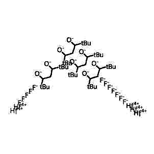 CC(C)(C)C([O-])CC([O-])C(C)(C)C.CC(C)(C)C([O-])CC([O-])C(C)(C)C.CC(C)(C)C([O-])CC([O-])C(C)(C)C.CC(C)(C)C([O-])CC([O-])C(C)(C)C.[F-].[F-].[F-].[F-].[F-].[F-].[F-].[F-].[F-].[F-].[F-].[F-].[Hf+4].[Hf+4].[Hf+4].[Hf+4].[Hf+4]